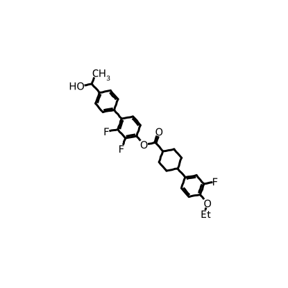 CCOc1ccc(C2CCC(C(=O)Oc3ccc(-c4ccc(C(C)O)cc4)c(F)c3F)CC2)cc1F